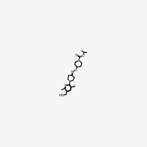 Cc1nc(N2CCC(=NOC3CCN(C(=O)OC(C)C)CC3)CC2)c(F)cc1CO